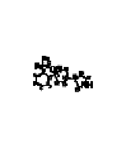 OC1(c2ccccc2C(F)(F)F)CCC([C]2CCNC2)CC1